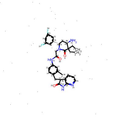 CCC1(CC)C(=O)N(CC(=O)Nc2ccc3c(c2)C[C@@]2(C3)C(=O)Nc3ncccc32)[C@H](c2cc(F)cc(F)c2)C[C@H]1N